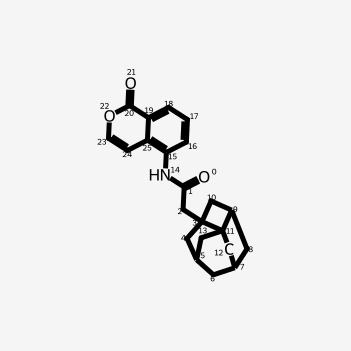 O=C(CC12CC3CC4CC(C1)C2(C4)C3)Nc1cccc2c(=O)occc12